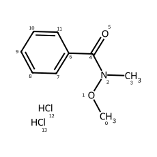 CON(C)C(=O)c1ccccc1.Cl.Cl